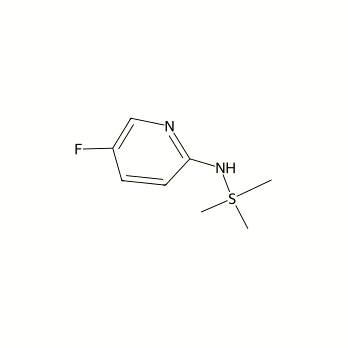 CS(C)(C)Nc1ccc(F)cn1